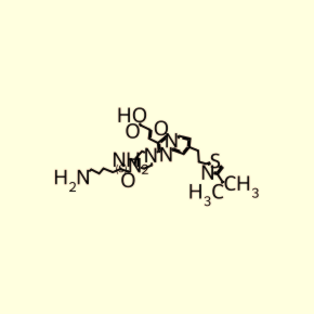 CC(C)c1csc(CCc2ccn3c(=O)c(C=CC(=O)O)c(N4CCN(C(=O)[C@@H](N)CCCCN)CC4)nc3c2)n1